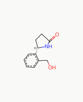 O=C1CC[C@@H](c2ccccc2CO)N1